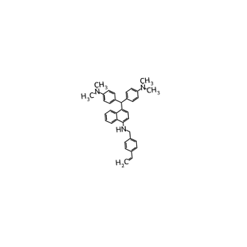 C=Cc1ccc(CNc2ccc(C(c3ccc(N(C)C)cc3)c3ccc(N(C)C)cc3)c3ccccc23)cc1